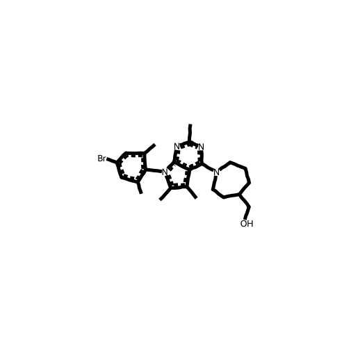 Cc1nc(N2CCCC(CO)CC2)c2c(C)c(C)n(-c3c(C)cc(Br)cc3C)c2n1